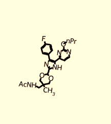 CCCOc1nccc(-c2[nH]c(C3OCC(C)(CNC(C)=O)CO3)nc2-c2ccc(F)cc2)n1